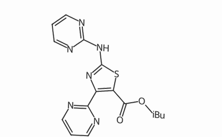 CCC(C)OC(=O)c1sc(Nc2ncccn2)nc1-c1ncccn1